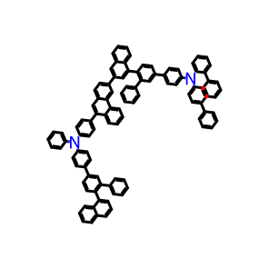 c1ccc(-c2ccc(N(c3ccc(-c4ccc(-c5cc(-c6ccc7cc(-c8ccc(N(c9ccccc9)c9ccc(-c%10ccc(-c%11cccc%12ccccc%11%12)c(-c%11ccccc%11)c%10)cc9)cc8)c8ccccc8c7c6)cc6ccccc56)c(-c5ccccc5)c4)cc3)c3ccccc3-c3ccccc3)cc2)cc1